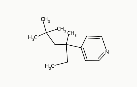 CCC(C)(CC(C)(C)C)c1ccncc1